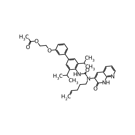 C=CCCCN(C(=O)Nc1c(C(C)C)cc(-c2cccc(OCCOC(C)=O)c2)cc1C(C)C)c1cc2cccnc2[nH]c1=O